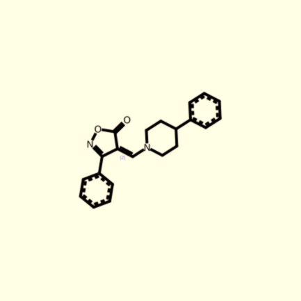 O=C1ON=C(c2ccccc2)/C1=C/N1CCC(c2ccccc2)CC1